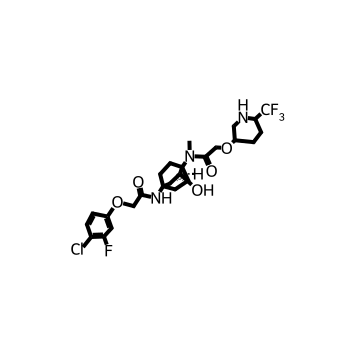 CN(C(=O)COC1CCC(C(F)(F)F)NC1)C12CCC(NC(=O)COc3ccc(Cl)c(F)c3)(CC1)C[C@@H]2O